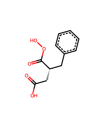 O=C(O)C[C@@H](Cc1ccccc1)C(=O)OO